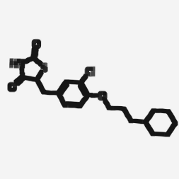 O=C1NC(=O)C(Cc2ccc(OCCCC3CCCCC3)c(Cl)c2)S1